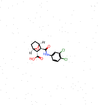 O=C(Nc1ccc(Cl)c(Cl)c1)[C@H]1[C@H](C(=O)O)[C@H]2CC[C@@H]1O2